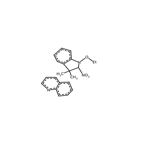 CCON1c2ccccc2C(C)(C)C1[N+](=O)[O-].c1ccc2ncccc2c1